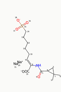 CC1(C)CC1C(=O)N/C(=C\CCCCCS(=O)(=O)[O-])C(=O)[O-].[Na+].[Na+]